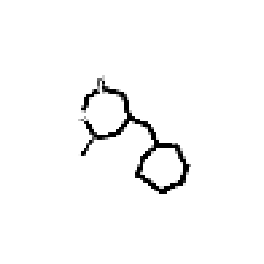 C[C@@H]1CC(CC2CCCCCC2)CNCS1